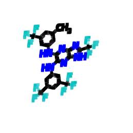 Cc1cc(Nc2nc3nc(C(F)(F)F)[nH]c3nc2Nc2cc(C(F)(F)F)cc(C(F)(F)F)c2)cc(C(F)(F)F)c1